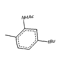 CC(=O)Nc1cc(C(C)(C)C)ccc1C